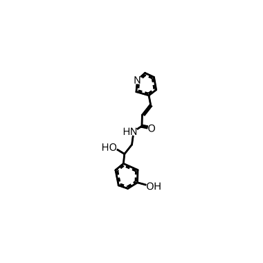 O=C(/C=C/c1cccnc1)NCC(O)c1cccc(O)c1